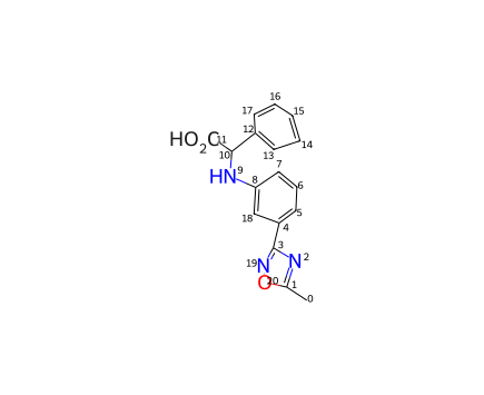 Cc1nc(-c2cccc(NC(C(=O)O)c3ccccc3)c2)no1